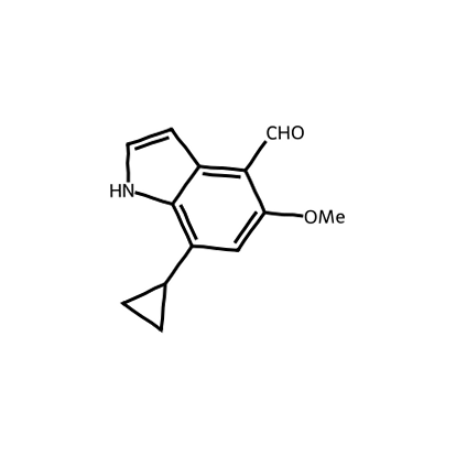 COc1cc(C2CC2)c2[nH]ccc2c1C=O